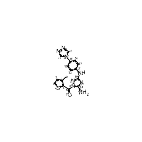 Cc1ccsc1C(=O)n1nc(Nc2ccc(-n3cnnc3)cc2)nc1N